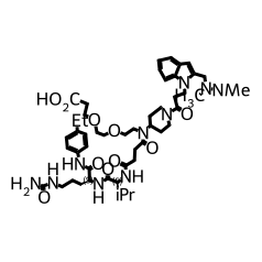 CCc1ccc(NC(=O)[C@H](CCCNC(N)=O)NC(=O)[C@@H](NC(=O)CCC(=O)N(CCOCCOCCC(=O)O)C2CCN(C(=O)CCn3c(CN(C)NC)cc4ccccc43)CC2)C(C)C)cc1